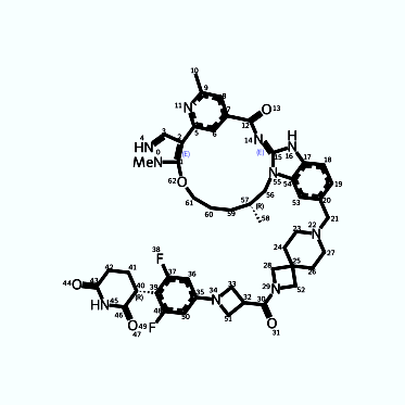 CN/C1=C(\C=N)c2cc(cc(C)n2)C(=O)/N=C2\Nc3ccc(CN4CCC5(CC4)CN(C(=O)C4CN(c6cc(F)c([C@H]7CCC(=O)NC7=O)c(F)c6)C4)C5)cc3N2C[C@H](C)CCCO1